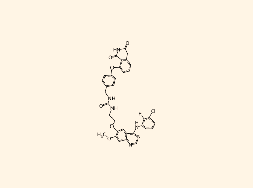 COc1cc2ncnc(Nc3cccc(Cl)c3F)c2cc1OCCNC(=O)NCc1ccc(Oc2cccc3c2C(=O)NC(=O)C3)cc1